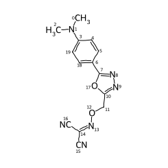 CN(C)c1ccc(-c2nnc(CON=C(C#N)C#N)o2)cc1